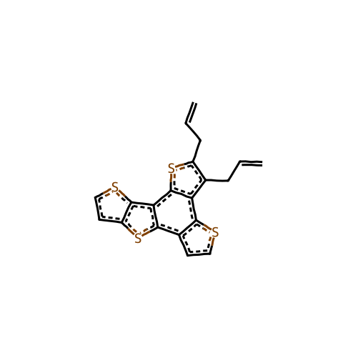 C=CCc1sc2c(c1CC=C)c1sccc1c1sc3ccsc3c12